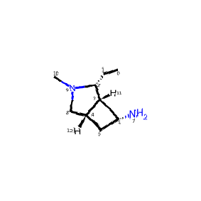 CC[C@@H]1[C@H]2[C@H](C[C@H]2N)CN1C